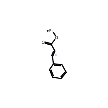 CCCOC(=O)/C=C/c1ccccc1